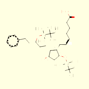 CC(C)(C)[Si](C)(C)O[C@@H](CCc1ccccc1)CC[C@@H]1[C@@H](C/C=C\CCCC(=O)O)[C@@H](O[Si](C)(C)C(C)(C)C)C[C@H]1O